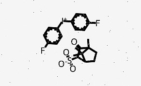 CC12CCC(C(S(=O)(=O)[O-])C1=O)C2(C)C.Fc1ccc([I+]c2ccc(F)cc2)cc1